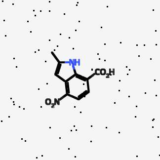 Cc1cc2c([N+](=O)[O-])ccc(C(=O)O)c2[nH]1